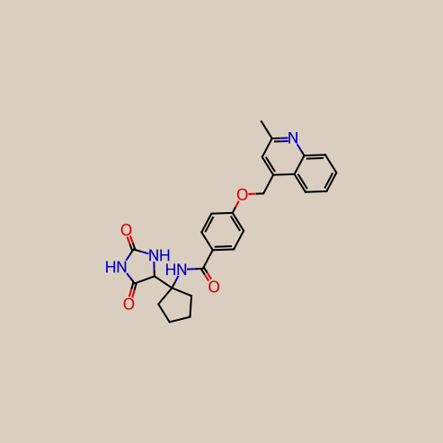 Cc1cc(COc2ccc(C(=O)NC3(C4NC(=O)NC4=O)CCCC3)cc2)c2ccccc2n1